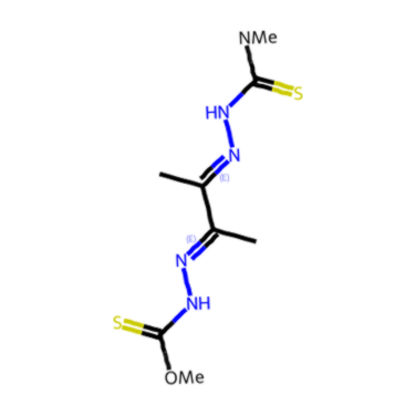 CNC(=S)N/N=C(C)/C(C)=N/NC(=S)OC